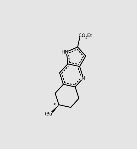 CCOC(=O)c1cc2nc3c(cc2[nH]1)C[C@H](C(C)(C)C)CC3